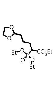 CCOC(=O)C(CCCC1OCCO1)P(=O)(OCC)OCC